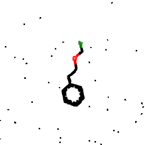 BrCOCCc1ccccc1